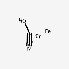 N#CO.[Cr].[Fe]